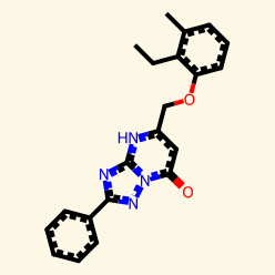 CCc1c(C)cccc1OCc1cc(=O)n2nc(-c3ccccc3)nc2[nH]1